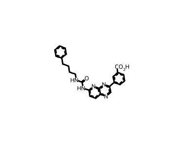 O=C(NCCCCc1ccccc1)Nc1ccc2ncc(-c3cccc(C(=O)O)c3)nc2n1